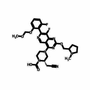 COCOc1cccc(F)c1-c1ncc2c(N3CCN(C(=O)O)[C@@H](CC#N)C3)nc(OCC3CCCN3C)nc2c1F